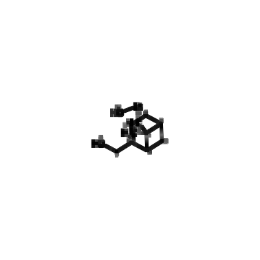 CC1(C)C2CC=C(CO)C1C2.CCO